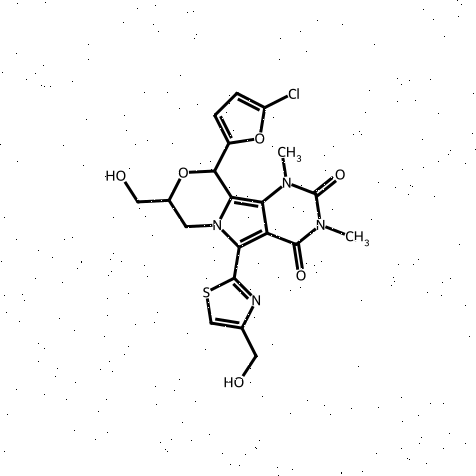 Cn1c(=O)c2c(-c3nc(CO)cs3)n3c(c2n(C)c1=O)C(c1ccc(Cl)o1)OC(CO)C3